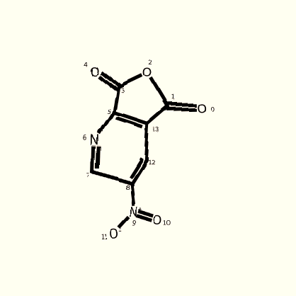 O=C1OC(=O)c2ncc([N+](=O)[O-])cc21